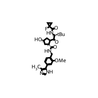 COc1cc(-c2[nH]cnc2C)ccc1CNC(=O)[C@@H]1C[C@@H](O)CC1C(=O)[C@@H](NC(=O)C1(F)CC1)C(C)(C)C